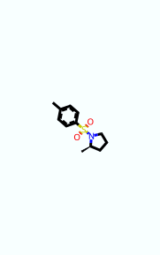 Cc1ccc(S(=O)(=O)N2CCC[C@H]2C)cc1